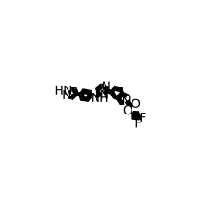 O=C(OC1CC(F)(F)C1)N1Cc2ccc(-c3nccc(Nc4ccc(-c5cn[nH]c5)cc4)n3)cc2C1